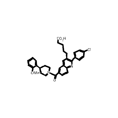 COc1ccccc1C1CCN(C(=O)c2ccc3nc(-c4ccc(Cl)cc4)c(CCCCC(=O)O)cc3c2)CC1